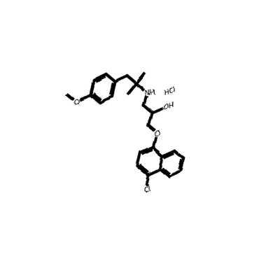 COc1ccc(CC(C)(C)NCC(O)COc2ccc(Cl)c3ccccc23)cc1.Cl